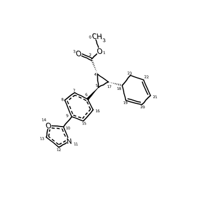 COC(=O)[C@H]1[C@H](c2ccc(-c3ncco3)cc2)[C@H]1C1C=CC=CC1